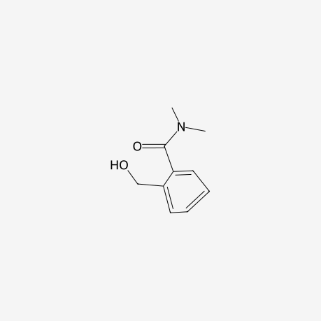 CN(C)C(=O)c1ccccc1CO